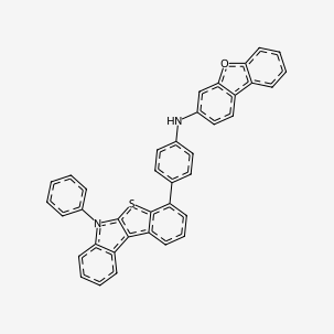 c1ccc(-n2c3ccccc3c3c4cccc(-c5ccc(Nc6ccc7c(c6)oc6ccccc67)cc5)c4sc32)cc1